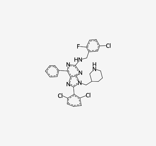 Fc1ccc(Cl)cc1CNc1nc(-c2ccccc2)c2nc(-c3c(Cl)cccc3Cl)n(CC3CCCNC3)c2n1